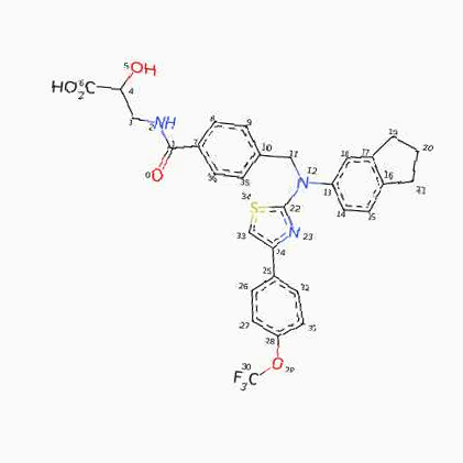 O=C(NCC(O)C(=O)O)c1ccc(CN(c2ccc3c(c2)CCC3)c2nc(-c3ccc(OC(F)(F)F)cc3)cs2)cc1